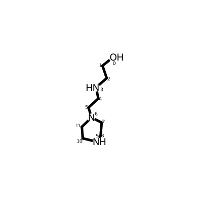 OCCNCCN1CCNCC1